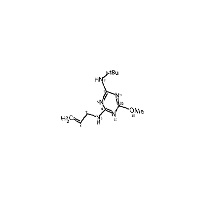 C=CCNc1nc(NC(C)(C)C)nc(OC)n1